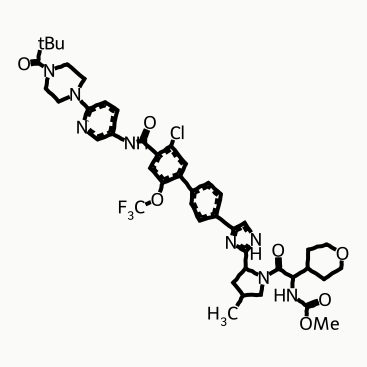 COC(=O)NC(C(=O)N1CC(C)CC1c1nc(-c2ccc(-c3cc(Cl)c(C(=O)Nc4ccc(N5CCN(C(=O)C(C)(C)C)CC5)nc4)cc3OC(F)(F)F)cc2)c[nH]1)C1CCOCC1